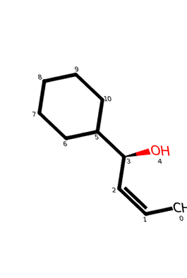 C/C=C\[C@H](O)C1CCCCC1